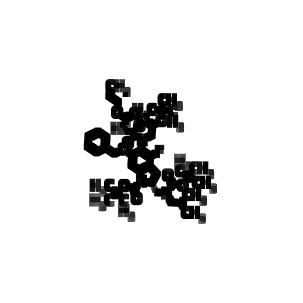 C=CCOC(=O)NS(=O)(=O)N(CC(=O)OC(C)(C)C)c1c(OCc2ccccc2)cc2c(c1F)C[C@H](CN(CC(C)C)C(=O)OC(C)(C)C)N2C(=O)OC(C)(C)C